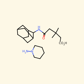 CC(C)(CC(=O)O)CC(=O)NC1C2CC3CC(C2)CC1C3.NN1CCCCC1